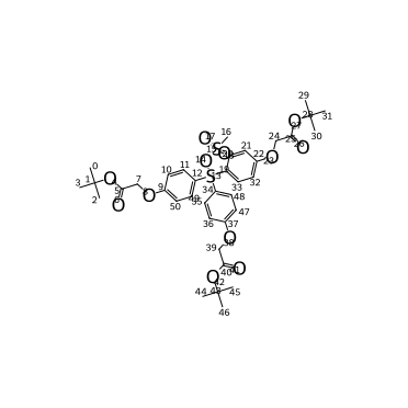 CC(C)(C)OC(=O)COc1ccc(S(OS(C)(=O)=O)(c2ccc(OCC(=O)OC(C)(C)C)cc2)c2ccc(OCC(=O)OC(C)(C)C)cc2)cc1